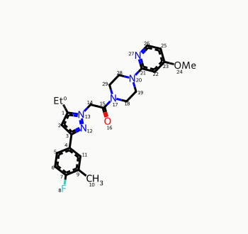 CCc1cc(-c2ccc(F)c(C)c2)nn1CC(=O)N1CCN(c2cc(OC)ccn2)CC1